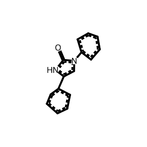 O=c1[nH]c(-c2ccccc2)cn1-c1ccccc1